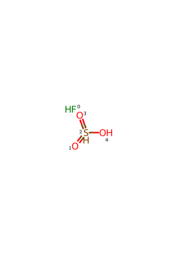 F.O=[SH](=O)O